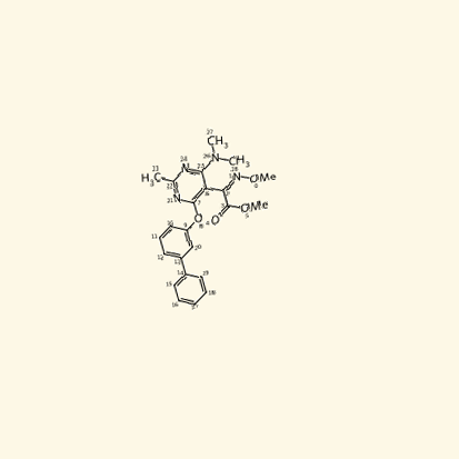 CON=C(C(=O)OC)c1c(Oc2cccc(-c3ccccc3)c2)nc(C)nc1N(C)C